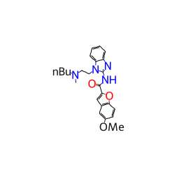 CCCCN(C)CCn1c(NC(=O)c2cc3cc(OC)ccc3o2)nc2ccccc21